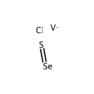 S=[Se].[C].[V]